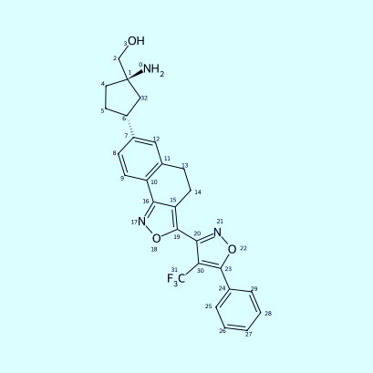 N[C@]1(CO)CC[C@@H](c2ccc3c(c2)CCc2c-3noc2-c2noc(-c3ccccc3)c2C(F)(F)F)C1